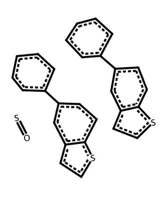 O=S.c1ccc(-c2ccc3sccc3c2)cc1.c1ccc(-c2ccc3sccc3c2)cc1